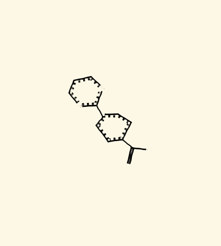 O=C(Cl)c1ccc(-c2ncccn2)cc1